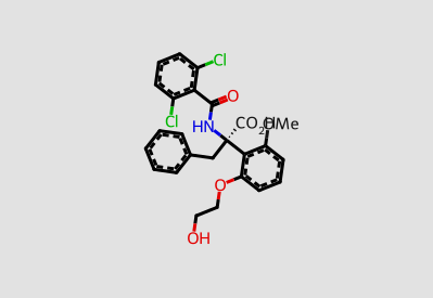 COc1cccc(OCCO)c1[C@@](Cc1ccccc1)(NC(=O)c1c(Cl)cccc1Cl)C(=O)O